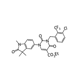 CCOC(=O)c1cn(-c2ccc3c(c2)C(C)(C)C(=O)N3C)c(=O)n(Cc2cccc(Cl)c2C(F)(F)F)c1=O